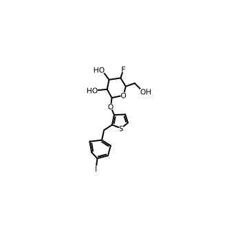 OCC1OC(Oc2ccsc2Cc2ccc(I)cc2)C(O)C(O)C1F